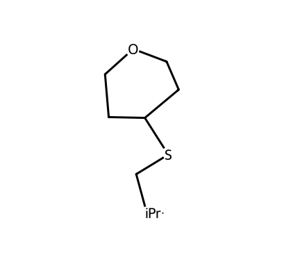 C[C](C)CSC1CCOCC1